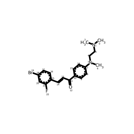 CN(C)CCN(C)c1ccc(C(=O)C=Cc2ccc(Br)cc2F)cc1